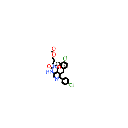 C[N+]1(CCCOC=O)C(=O)Nc2cnc(-c3ccc(Cl)cc3)c(Cc3ccc(Cl)cc3)c2C1=O